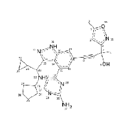 Cc1cc(C(C)(O)C#Cc2cc(-c3ccnc(N)n3)c3c(C(NC4CCCC4)C4CC4)n[nH]c3c2)no1